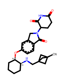 N#CC12CC(CN[C@H]3CCCC[C@H]3Oc3ccc4c(c3)CN(C3CCC(=O)NC3=O)C4=O)(C1)C2